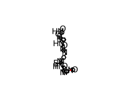 O=C1CCC(c2nsc3c(NC(=O)CN4CCN(CC5CCC(n6cc(NC(=O)c7cnn8ccc(N9CC%10CC9CO%10)nc78)c(C(F)F)n6)CC5)CC4)cccc23)C(=O)N1